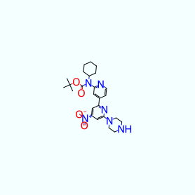 CC(C)(C)OC(=O)N(c1cc(-c2cc([N+](=O)[O-])cc(N3CCNCC3)n2)ccn1)C1CCCCC1